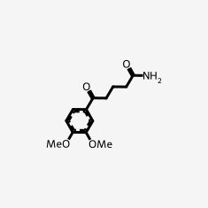 COc1ccc(C(=O)CCCC(N)=O)cc1OC